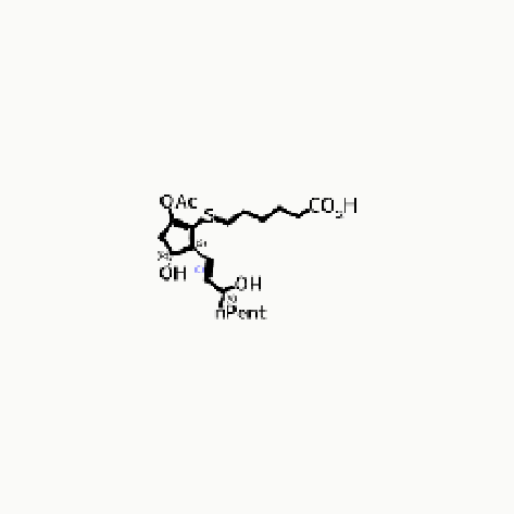 CCCCC[C@H](O)/C=C/[C@@H]1C(SCCCCCC(=O)O)=C(OC(C)=O)C[C@H]1O